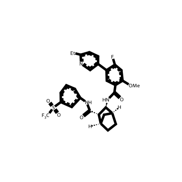 CCc1ccc(-c2cc(C(=O)N[C@@H]3[C@H]4CC[C@H](C4)[C@@H]3C(=O)Nc3cccc(S(=O)(=O)C(F)(F)F)c3)c(OC)cc2F)cn1